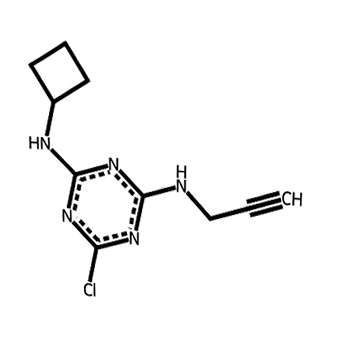 C#CCNc1nc(Cl)nc(NC2CCC2)n1